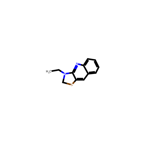 CCN1CSc2cc3ccccc3nc21